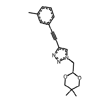 Cc1cccc(C#Cc2cn(CC3OCC(C)(C)CO3)nn2)c1